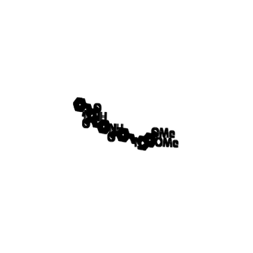 COc1cc2c(cc1OC)CN(CCc1ccc(C(=O)Nc3ccc(C=c4[nH]c(=O)c(=Cc5ccccc5)n(C)c4=O)cc3)cc1)CC2